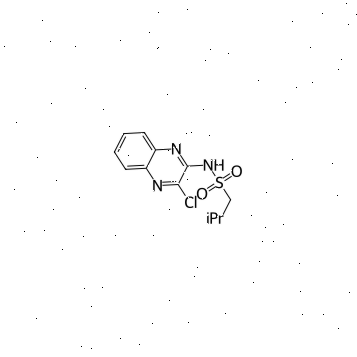 CC(C)CS(=O)(=O)Nc1nc2ccccc2nc1Cl